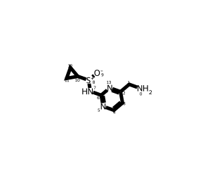 NCc1ccnc(N[S+]([O-])C2CC2)n1